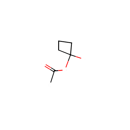 CC(=O)OC1(O)CCC1